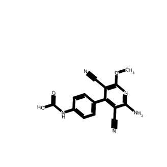 COc1nc(N)c(C#N)c(-c2ccc(NC(=O)O)cc2)c1C#N